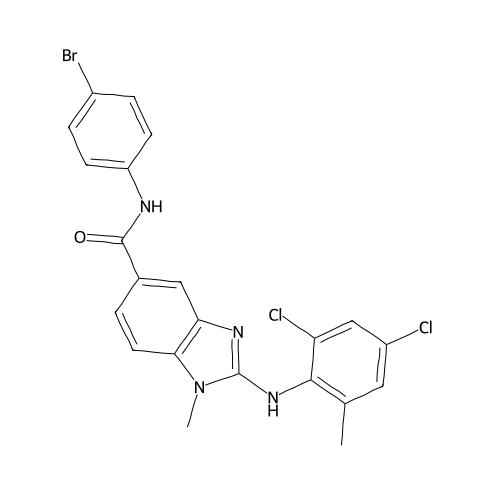 Cc1cc(Cl)cc(Cl)c1Nc1nc2cc(C(=O)Nc3ccc(Br)cc3)ccc2n1C